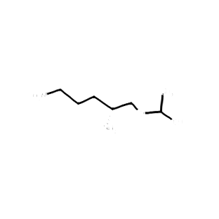 CC(C)OC[C@H](N)CCCN